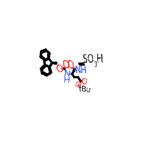 CC(C)(C)OC(=O)CCC(NC(=O)OCC1c2ccccc2-c2ccccc21)C(=O)NCCS(=O)(=O)O